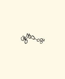 Cn1ccc2cc(-c3ccc4cnc(C(=O)N5CCCCC5)cc4c3)ccc2c1=O